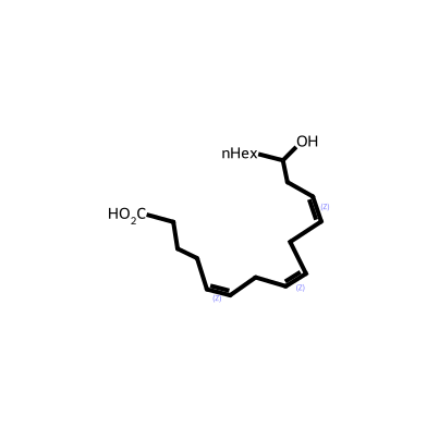 CCCCCCC(O)C/C=C\C/C=C\C/C=C\CCCC(=O)O